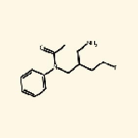 CC(=O)N(CC(CN)CCF)c1ccccc1